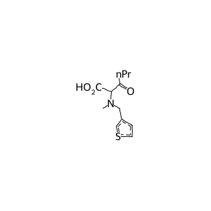 CCCC(=O)C(C(=O)O)N(C)Cc1ccsc1